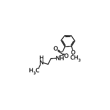 CNCCNS(=O)(=O)c1ccccc1OC